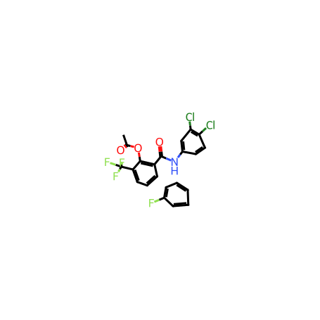 CC(=O)Oc1c(C(=O)Nc2ccc(Cl)c(Cl)c2)cccc1C(F)(F)F.Fc1ccccc1